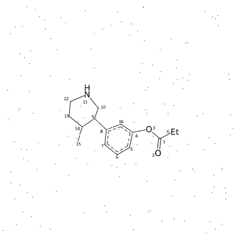 CCC(=O)Oc1cccc(C2CNCCC2C)c1